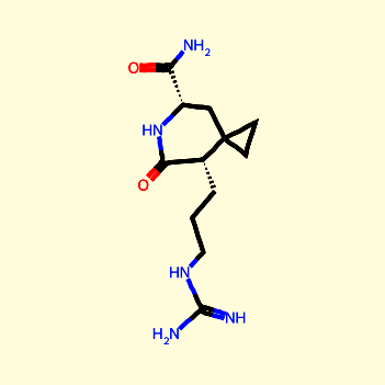 N=C(N)NCCC[C@@H]1C(=O)N[C@H](C(N)=O)CC12CC2